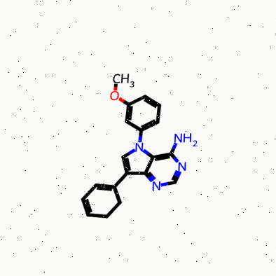 COc1cccc(-n2cc(C3=CC=CCC3)c3ncnc(N)c32)c1